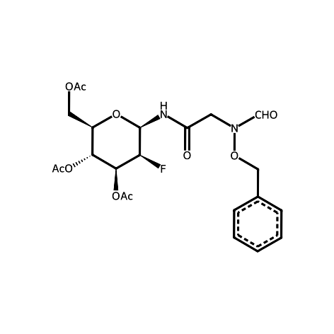 CC(=O)OC[C@H]1O[C@@H](NC(=O)CN(C=O)OCc2ccccc2)[C@@H](F)[C@@H](OC(C)=O)[C@@H]1OC(C)=O